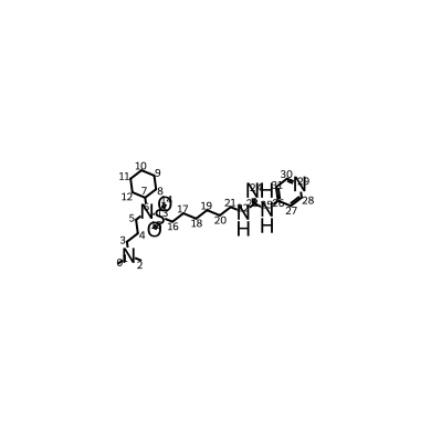 CN(C)CCCN(C1CCCCC1)S(=O)(=O)CCCCCCNC(=N)Nc1ccncc1